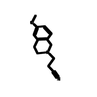 COc1ccc2c(c1)CCN(CCC#N)C2